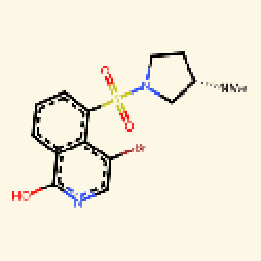 CN[C@H]1CCN(S(=O)(=O)c2cccc3c(O)ncc(Br)c23)C1